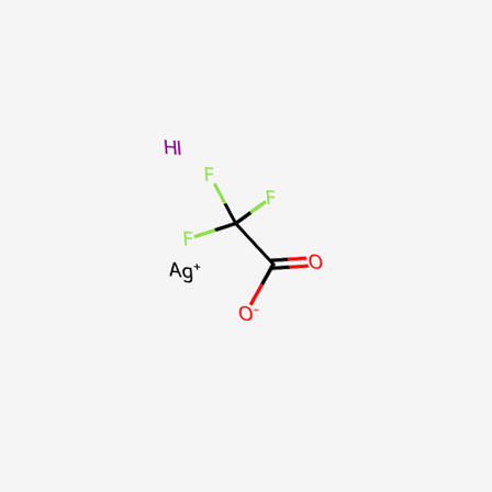 I.O=C([O-])C(F)(F)F.[Ag+]